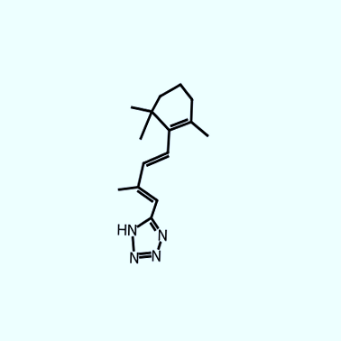 CC(C=CC1=C(C)CCCC1(C)C)=Cc1nnn[nH]1